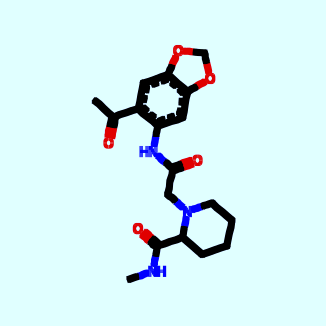 CNC(=O)C1CCCCN1CC(=O)Nc1cc2c(cc1C(C)=O)OCO2